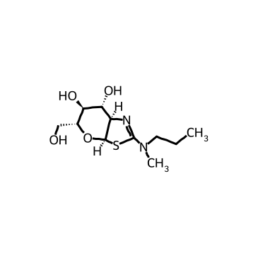 CCCN(C)C1=N[C@@H]2[C@@H](O)[C@H](O)[C@@H](CO)O[C@@H]2S1